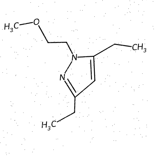 CCc1cc(CC)n(CCOC)n1